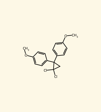 COc1ccc(C2(c3ccc(OC)cc3)CC2(Cl)Cl)cc1